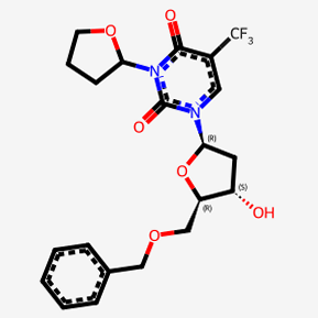 O=c1c(C(F)(F)F)cn([C@H]2C[C@H](O)[C@@H](COCc3ccccc3)O2)c(=O)n1C1CCCO1